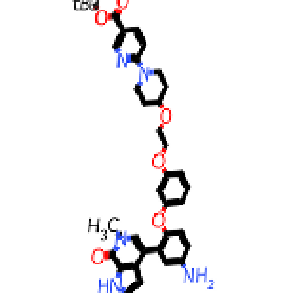 Cn1cc(-c2cc(N)ccc2Oc2cccc(OCCOC3CCN(c4ccc(C(=O)OC(C)(C)C)cn4)CC3)c2)c2cc[nH]c2c1=O